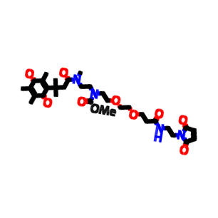 COC(=O)N(CCOCCOCCC(=O)NCCN1C(=O)C=CC1=O)CCN(C)C(=O)CC(C)(C)C1=C(C)C(=O)C(C)=C(C)C1=O